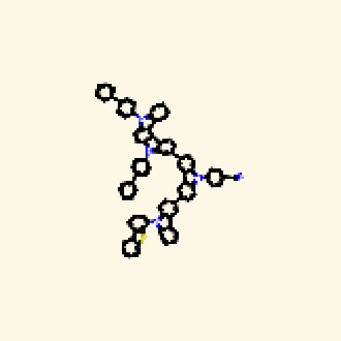 N#Cc1ccc(-n2c3ccc(-c4ccc5c(c4)c4ccccc4n5-c4cccc5c4sc4ccccc45)cc3c3cc(-c4ccc5c6c7c8ccccc8n(-c8ccc(-c9ccccc9)cc8)c7ccc6n(-c6ccc(-c7ccccc7)cc6)c5c4)ccc32)cc1